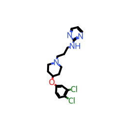 Clc1ccc(OC2CCN(CCCNc3ncccn3)CC2)cc1Cl